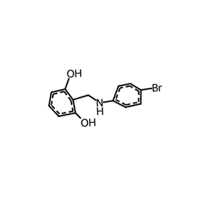 Oc1cccc(O)c1CNc1ccc(Br)cc1